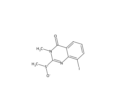 Cn1c([S+](C)[O-])nc2c(I)cccc2c1=O